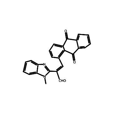 Cn1c(C(C=O)=Cc2cccc3c2C(=O)c2ccccc2C3=O)nc2ccccc21